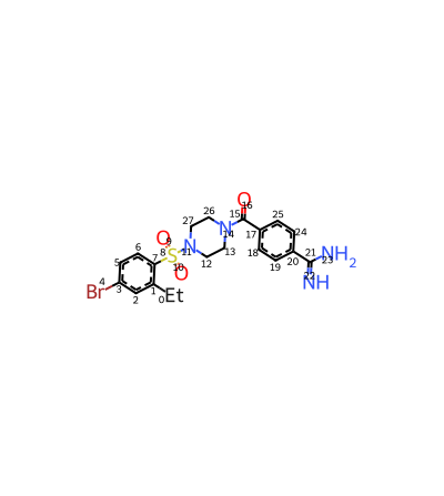 CCc1cc(Br)ccc1S(=O)(=O)N1CCN(C(=O)c2ccc(C(=N)N)cc2)CC1